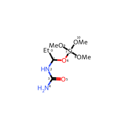 CCC(NC(N)=O)O[Si](OC)(OC)OC